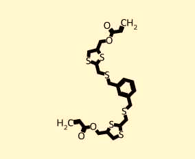 C=CC(=O)OCC1CSC(CSCc2cccc(CSCC3SCC(COC(=O)C=C)S3)c2)S1